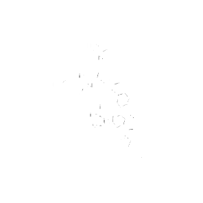 C=CCOC(=O)NC(C(=O)NC(CCCNC(N)=O)C(=O)Nc1ccc(CN(C(=O)O)c2cc(O[Si](C(C)C)(C(C)C)C(C)C)c(OC)cc2C(=O)N2C=C(C)CC2CO)cc1)C(C)C